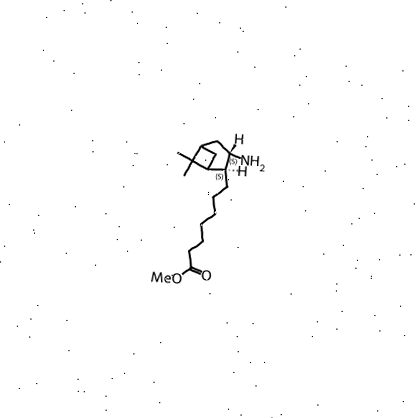 COC(=O)CCCCCC[C@H]1C2CC(C[C@@H]1N)C2(C)C